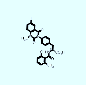 Cc1cccc(Cl)c1C(=O)N[C@@H](Cc1ccc(-n2c(=O)c3cc(I)ccc3n(C)c2=O)cc1)C(=O)O